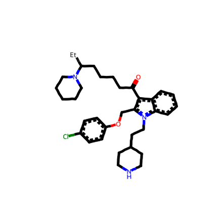 CCC(CCCCC(=O)c1c(COc2ccc(Cl)cc2)n(CCC2CCNCC2)c2ccccc12)N1CCCCC1